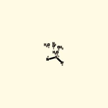 O.O.O.O.[Br][Ti][Br]